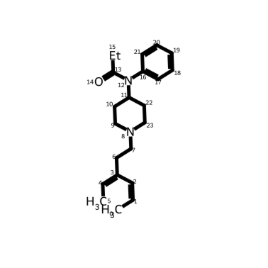 C/C=C\C(=C/C)CCN1CCC(N(C(=O)CC)c2ccccc2)CC1